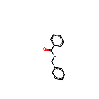 O=C([CH]Cc1ccccc1)c1ccccc1